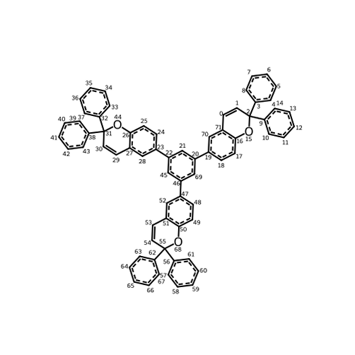 C1=CC(c2ccccc2)(c2ccccc2)Oc2ccc(-c3cc(-c4ccc5c(c4)C=CC(c4ccccc4)(c4ccccc4)O5)cc(-c4ccc5c(c4)C=CC(c4ccccc4)(c4ccccc4)O5)c3)cc21